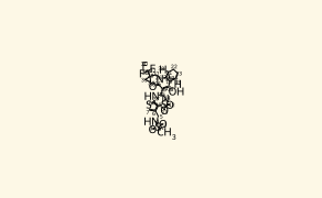 CS(=O)(=O)NCc1csc2c1S(=O)(=O)N=C(C1=C(O)C3C([C@@H]4CC[C@H]3C4)N(CC3(C(F)(F)F)CC3)C1=O)N2